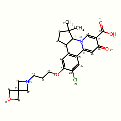 CC1(C)CCC2c3cc(OCCCN4CC5(COC5)C4)c(Cl)cc3-c3cc(=O)c(C(=O)O)cn3C21